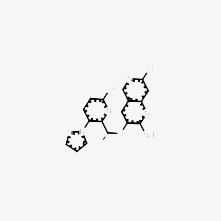 Cc1cc2nc(N)c(O[C@@H](C)c3nc(O)ccc3-n3cccn3)cc2cn1